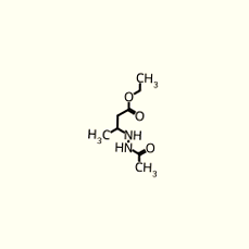 CCOC(=O)CC(C)NNC(C)=O